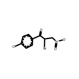 O=C(c1ccc(Cl)cc1)C(Br)C[N+](=O)[O-]